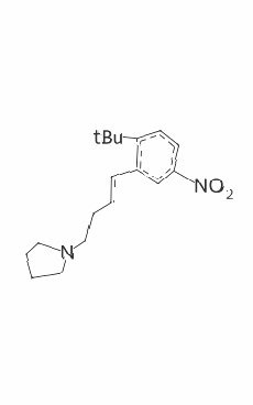 CC(C)(C)c1ccc([N+](=O)[O-])cc1C=CCCN1CCCC1